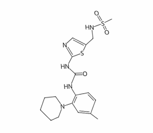 Cc1ccc(NC(=O)Nc2ncc(CNS(C)(=O)=O)s2)c(N2CCCCC2)c1